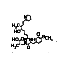 COc1ccc(CC(NC(=O)/C=C/CC(O)C(C)/C=C/c2ccccn2)C(=O)NCC(C)C(=O)O)cc1Cl